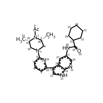 CC(=O)N1[C@H](C)CN(c2cccc(-c3c[nH]c4ncc(NC(=O)C5CCCCC5)cc34)n2)C[C@@H]1C